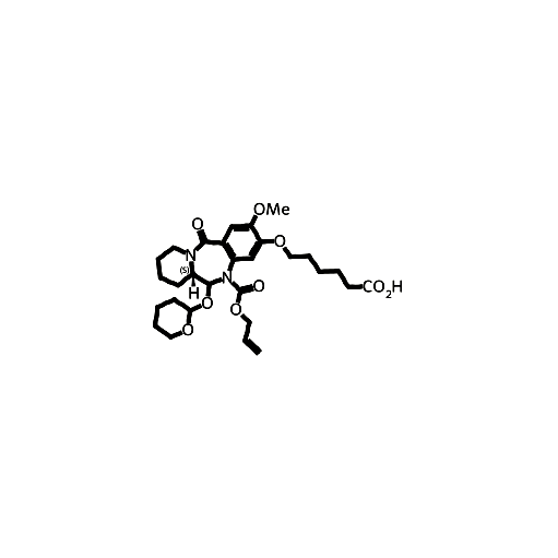 C=CCOC(=O)N1c2cc(OCCCCCC(=O)O)c(OC)cc2C(=O)N2CCCC[C@H]2C1OC1CCCCO1